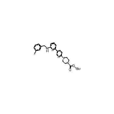 CC(C)(C)OC(=O)N1CCN(c2ccc(-c3cccc(NCc4cccc(F)c4)n3)cn2)CC1